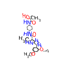 COc1ccc(-c2ncnc3c(C(=O)N[C@H]4CC[C@H](NC(=O)[C@H](C)O)CC4)c(C)[nH]c23)c(OCC2CC2)c1